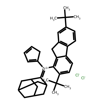 CC(C)(C)c1ccc2c(c1)Cc1c-2ccc(C(C)(C)C)[c]1[Zr+2]([C]1=CC=CC1)=[C]1C2CC3CC(C2)CC1C3.[Cl-].[Cl-]